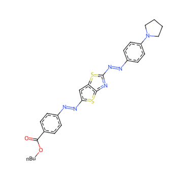 CCCCOC(=O)c1ccc(N=Nc2cc3sc(N=Nc4ccc(N5CCCC5)cc4)nc3s2)cc1